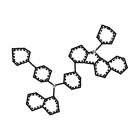 c1ccc(-c2ccc(N(c3cccc(-c4cccc5c4c4ccc6ccccc6c4n5-c4ccccc4)c3)c3cccc4ccccc34)cc2)cc1